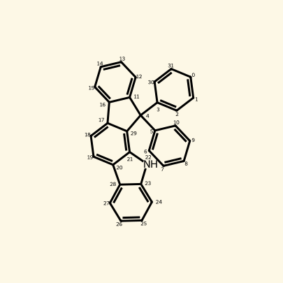 c1ccc(C2(c3ccccc3)c3ccccc3-c3ccc4c([nH]c5ccccc54)c32)cc1